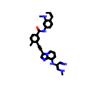 C/C=C\c1ccc(NC(=O)c2ccc(C)c(C#Cc3cnc4c(N/C(C=N)=C/NC)cccn34)c2)cc1NC